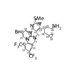 CSc1ncc(CN(Cc2cc(C(F)(F)F)cc(C(F)(F)F)c2)c2ncc(Br)cn2)c(C(CCN)CC2CC2)n1